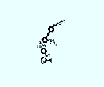 CNc1cc(S(=O)(=O)N[C@H]2CC[C@H](C(=O)N3CCOC[C@@H]3C3CC3)CC2)ccc1C#Cc1ccc(CCCOC=O)cc1